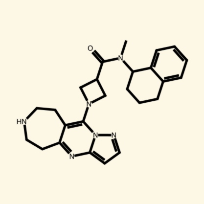 CN(C(=O)C1CN(c2c3c(nc4ccnn24)CCNCC3)C1)C1CCCc2ccccc21